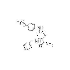 COc1ccc(Nc2cc(NCc3ccncn3)c(C(N)=O)cn2)cc1